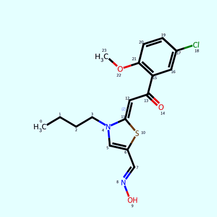 CCCCN1C=C(C=NO)S/C1=C\C(=O)c1cc(Cl)ccc1OC